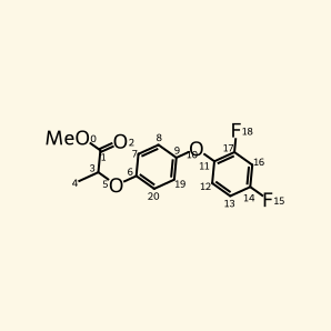 COC(=O)C(C)Oc1ccc(Oc2ccc(F)cc2F)cc1